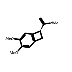 C=C(NC)[C@H]1Cc2cc(OC)c(OC)cc21